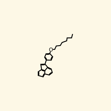 CCCCCCCCOc1ccc(C2=Cc3cccc4cccc2c34)cc1